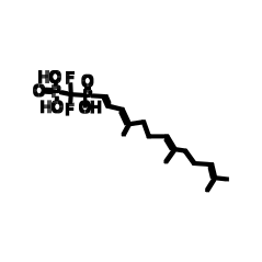 CC(C)=CCC/C(C)=C/CC/C(C)=C/C=C/P(=O)(O)C(F)(F)P(=O)(O)O